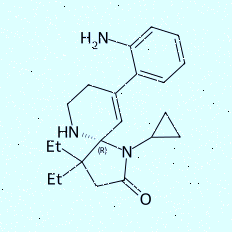 CCC1(CC)CC(=O)N(C2CC2)[C@]12C=C(c1ccccc1N)CCN2